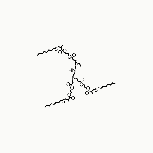 CCCCCCCCSCC(C)C(=O)OCCOC(=O)CCN(CC)CCNCCN(CCC(=O)OCCOC(=O)C(C)CSCCCCCCCC)CCC(=O)OCCOC(=O)C(C)CSCCCCCCCC